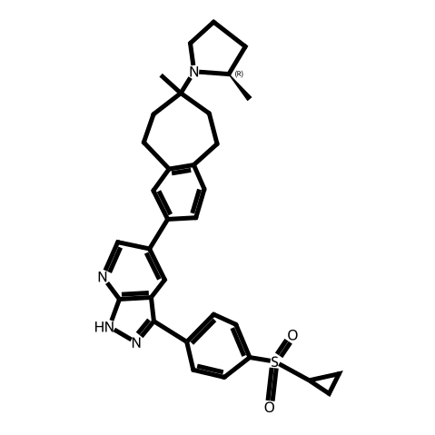 C[C@@H]1CCCN1C1(C)CCc2ccc(-c3cnc4[nH]nc(-c5ccc(S(=O)(=O)C6CC6)cc5)c4c3)cc2CC1